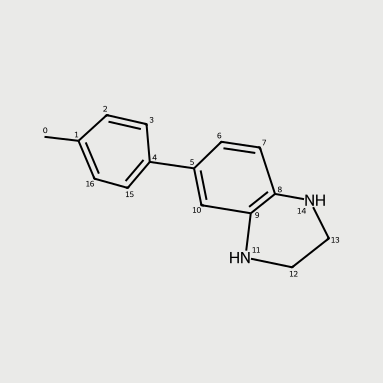 Cc1ccc(-c2ccc3c(c2)NCCN3)cc1